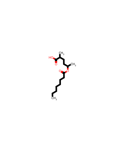 CCCCCCCC(=O)OC(C)CCC(C)C(=O)O